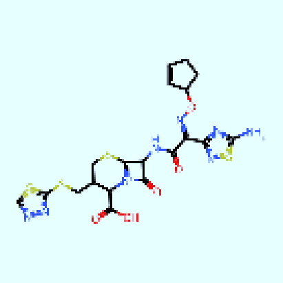 Nc1nc(C(=NOC2C=CCC2)C(=O)NC2C(=O)[N+]3=C2SCC(CSc2nncs2)C3C(=O)O)ns1